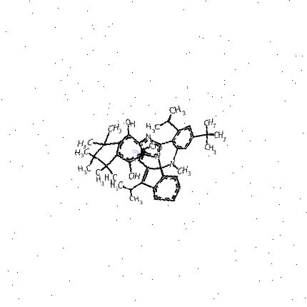 C/C=C\C1=C(C(C)C)c2ccccc2C12N(C)c1cc(C(C)(C)C)cc(C(C)C)c1-c1nc3c(O)c4c(c(O)c3n12)C(C)(C)C(C)(C)C4(C)C